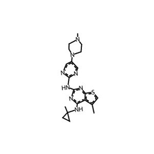 Cc1csc2nc(Nc3ncc(N4CCN(C)CC4)cn3)nc(NC3(C)CC3)c12